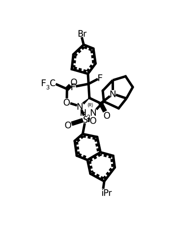 CC(C)c1ccc2cc(S(=O)(=O)N(OC(=O)C(F)(F)F)[C@H](C(=O)N3C4CCC3CC(N)C4)C(F)(F)c3ccc(Br)cc3)ccc2c1